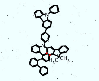 CC1(C)c2ccccc2-c2cc(N(c3ccc(-c4ccc5c(c4)c4ccccc4n5-c4ccccc4)cc3)c3ccccc3-c3ccccc3-c3ccccc3-c3ccccc3)ccc21